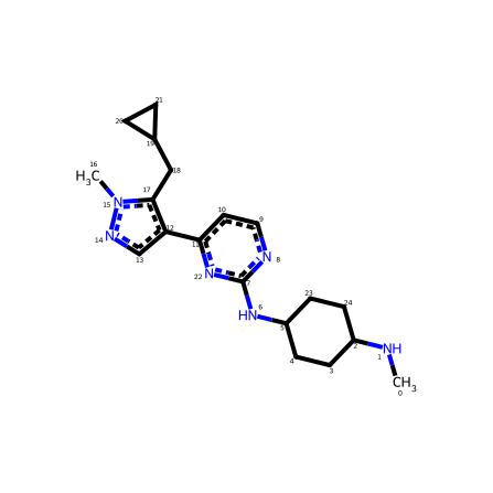 CNC1CCC(Nc2nccc(-c3cnn(C)c3CC3CC3)n2)CC1